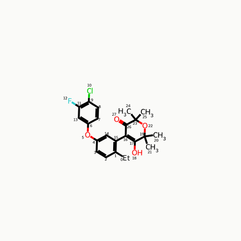 CCc1ccc(Oc2ccc(Cl)c(F)c2)cc1C1=C(O)C(C)(C)OC(C)(C)C1=O